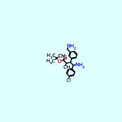 CC(C(=O)OC(C)(C)C)C(c1cccc(CN)c1)C(N)c1ccc(Cl)cc1